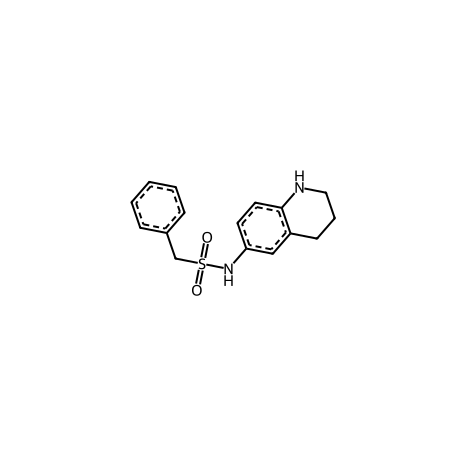 O=S(=O)(Cc1ccccc1)Nc1ccc2c(c1)CCCN2